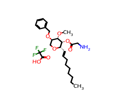 CCCCCCCC=C[C@@H]1OC[C@@H](OCc2ccccc2)[C@H](OC)[C@@H]1OC(=O)CN.O=C(O)C(F)(F)F